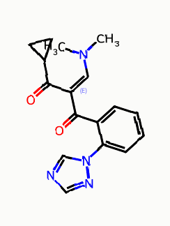 CN(C)/C=C(/C(=O)c1ccccc1-n1cncn1)C(=O)C1CC1